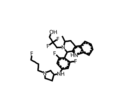 CC1Cc2c([nH]c3ccccc23)C(c2c(F)cc(NC3CCN(CCCF)C3)cc2F)N1CC(F)(F)CO